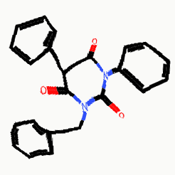 O=C1C(c2ccccc2)C(=O)N(c2ccccc2)C(=O)N1Cc1ccccc1